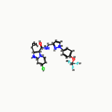 CCc1nc2cc(Cl)ccn2c1C(=O)NCc1ccn(-c2ccc(OC(F)(F)F)cc2)n1